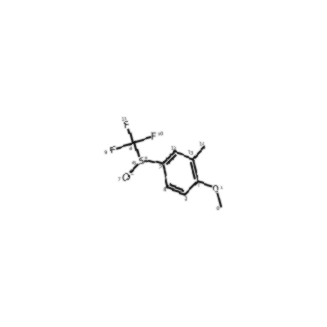 COc1ccc([S+]([O-])C(F)(F)F)cc1C